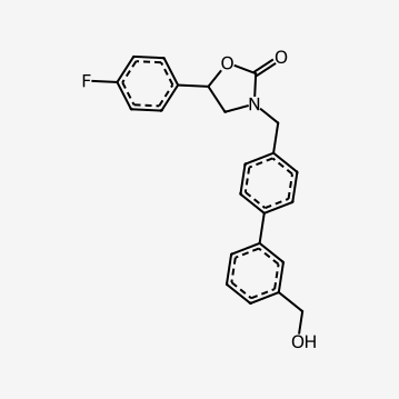 O=C1OC(c2ccc(F)cc2)CN1Cc1ccc(-c2cccc(CO)c2)cc1